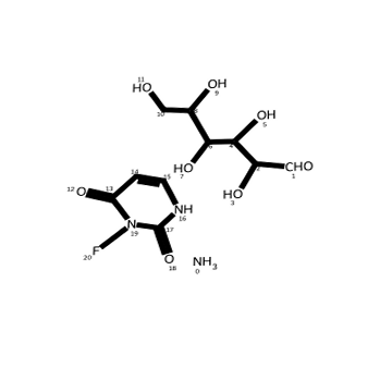 N.O=CC(O)C(O)C(O)C(O)CO.O=c1cc[nH]c(=O)n1F